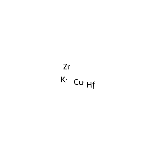 [Cu].[Hf].[K].[Zr]